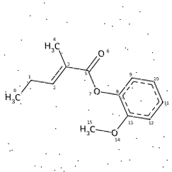 CCC=C(C)C(=O)Oc1ccccc1OC